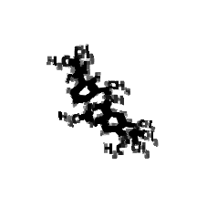 Cc1nc(N[C@H](C)c2cccc(C(F)(F)C(C)C)c2F)c2cc3c(cc2n1)N(C)C(C)(C)N3C